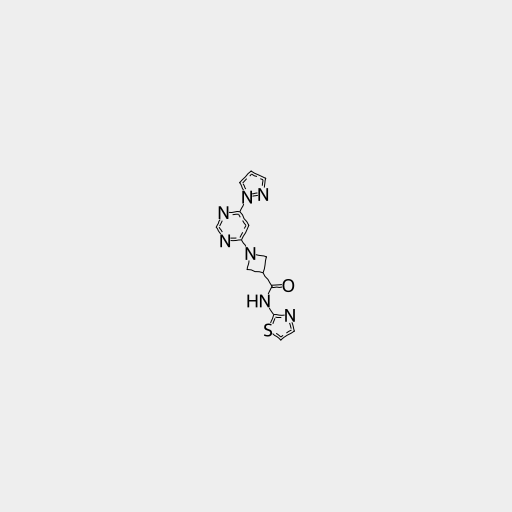 O=C(Nc1nccs1)C1CN(c2cc(-n3cccn3)ncn2)C1